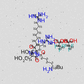 CCC(C)[C@H](N)CCCCC(=O)N(C(=O)[C@@H](N)CC(=O)O)[C@@](CCCNC(=N)N)(C(=O)O)C(=O)CCCCCCCCNC(=N)N.O=C(O)C(F)(F)F.O=C(O)C(F)(F)F